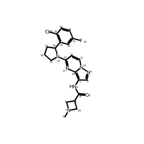 CN1CC(C(=O)Nc2cnn3ccc(N4CCCC4c4cc(F)ccc4Cl)nc23)C1